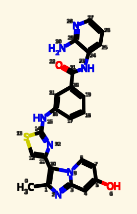 Cc1nc2cc(O)ccn2c1-c1csc(Nc2cccc(C(=O)Nc3cccnc3N)c2)n1